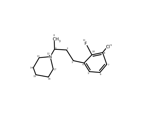 CC(CCc1cccc(Cl)c1F)N1CCCCC1